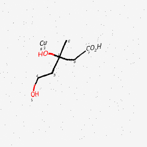 CC(O)(CCO)CC(=O)O.[Cu]